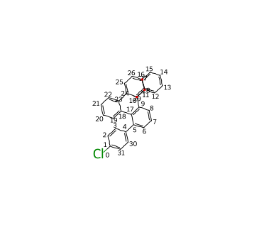 Clc1ccc(-c2cccc(Cc3ccccc3)c2-c2ccccc2-c2ccccc2)cc1